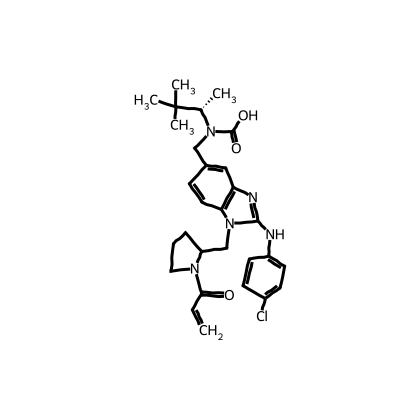 C=CC(=O)N1CCCC1Cn1c(Nc2ccc(Cl)cc2)nc2cc(CN(C(=O)O)[C@@H](C)C(C)(C)C)ccc21